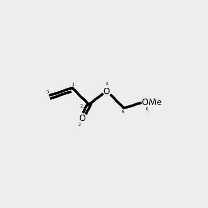 C=CC(=O)O[CH]OC